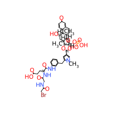 Cn1cc([C@@H]2O[C@@H]3C[C@H]4[C@@H]5CCC6=CC(=O)C=C[C@]6(C)[C@H]5[C@@H](O)C[C@]4(C)[C@]3(C(=O)COP(=O)(O)O)O2)cc1Cc1cccc(NC(=O)[C@H](CCC(=O)O)NC(=O)CNC(=O)CBr)c1